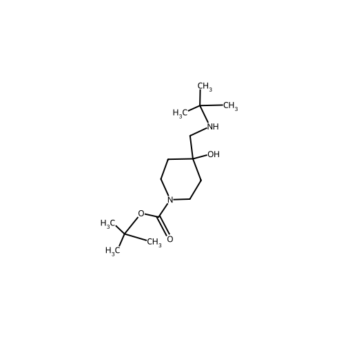 CC(C)(C)NCC1(O)CCN(C(=O)OC(C)(C)C)CC1